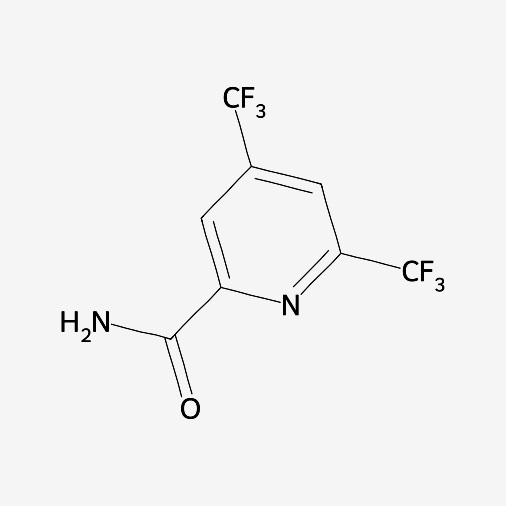 NC(=O)c1cc(C(F)(F)F)cc(C(F)(F)F)n1